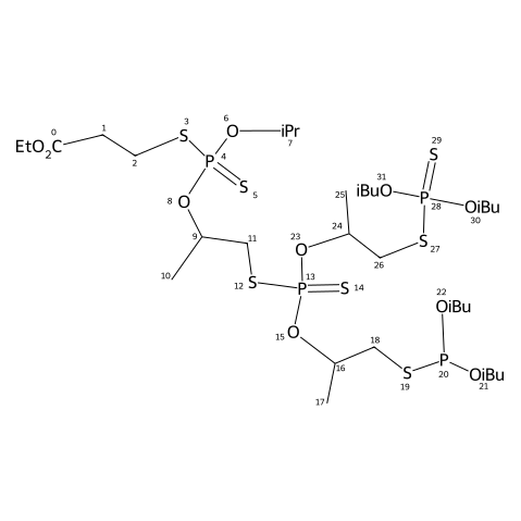 CCOC(=O)CCSP(=S)(OC(C)C)OC(C)CSP(=S)(OC(C)CSP(OCC(C)C)OCC(C)C)OC(C)CSP(=S)(OCC(C)C)OCC(C)C